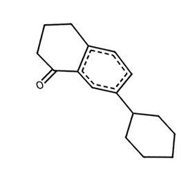 O=C1CCCc2ccc(C3CCCCC3)cc21